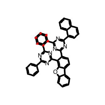 c1ccc(-c2nc(-c3ccc4c(oc5ccccc54)c3-c3nc(-c4ccccc4)nc(-c4ccccc4)n3)nc(-c3cccc4ccccc34)n2)cc1